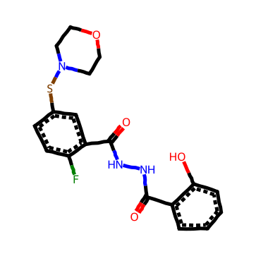 O=C(NNC(=O)c1cc(SN2CCOCC2)ccc1F)c1ccccc1O